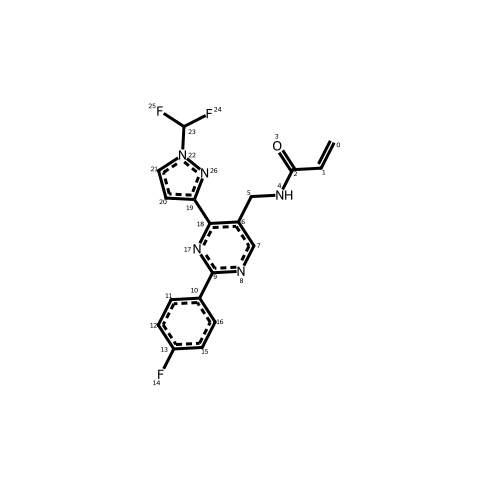 C=CC(=O)NCc1cnc(-c2ccc(F)cc2)nc1-c1ccn(C(F)F)n1